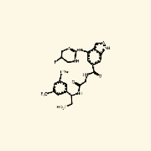 COc1cc(C(CC(=O)O)NC(=O)CNC(=O)c2cc(NC3=NCC(F)CN3)c3cn[nH]c3c2)cc(C(F)(F)F)c1